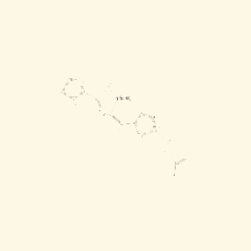 CC(=O)OCc1ccc(C=C2N=C(c3cccs3)OC2=O)o1